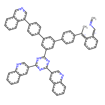 C=N/C=c1/cccc/c1=C(/C)c1ccc(-c2cc(-c3ccc(-c4cncc5ccccc45)cc3)cc(-c3nc(-c4cnc5ccccc5c4)nc(-c4cnc5ccccc5c4)n3)c2)cc1